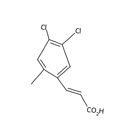 Cc1cc(Cl)c(Cl)cc1C=CC(=O)O